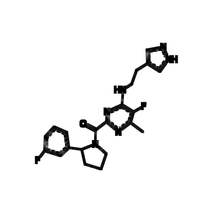 Cc1nc(C(=O)N2CCCC2c2cccc(F)c2)nc(NCCc2cn[nH]c2)c1F